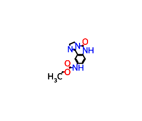 CCOC(=O)Nc1ccc2c(c1)C1=NCCN1C(=O)N2